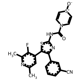 Cc1cc(-c2sc(NC(=O)N3C=C[S+]([O-])C=C3)nc2-c2cccc(C#N)c2)c(F)c(C)n1